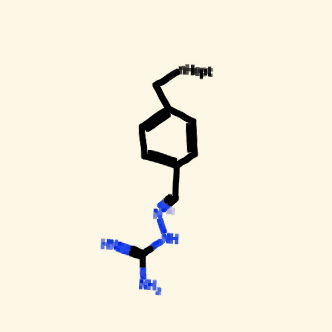 CCCCCCCCc1ccc(/C=N/NC(=N)N)cc1